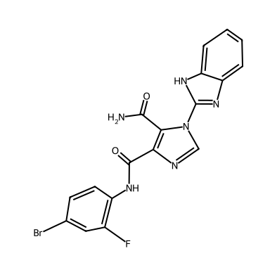 NC(=O)c1c(C(=O)Nc2ccc(Br)cc2F)ncn1-c1nc2ccccc2[nH]1